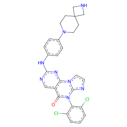 O=c1c2cnc(Nc3ccc(N4CCC5(CC4)CNC5)cc3)nc2n2ccnc2n1-c1c(Cl)cccc1Cl